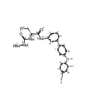 CC(C)C[C@H](NC(=O)NC(C)(C)C)C(=O)Nc1cccc(-c2ccc(Oc3ccc(F)cc3)cc2)n1